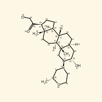 C[C@@H]1CN([C@H]2C[C@@]3(C)[C@@H](CC[C@@H]4[C@@H]3CC[C@]3(C)[C@@H](C(=O)CCl)CC[C@@H]43)C[C@@H]2O)CCO1